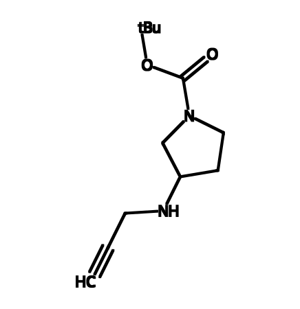 C#CCNC1CCN(C(=O)OC(C)(C)C)C1